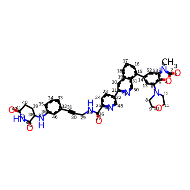 Cn1c(=O)oc2c(N3CCOCC3)cc(-c3cccc4cc(-c5ccc(C(=O)NCC#Cc6cccc(NC7CCC(=O)NC7=O)c6)nc5)ncc34)cc21